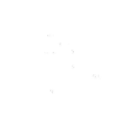 Cn1c(=O)[nH]c(N2CCC[C@@H](N)C2)c(Cc2cc(F)ccc2C#N)c1=O